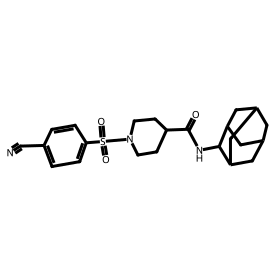 N#Cc1ccc(S(=O)(=O)N2CCC(C(=O)NC3C4CC5CC(C4)CC3C5)CC2)cc1